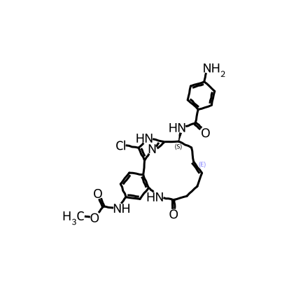 COC(=O)Nc1ccc2c(c1)NC(=O)CC/C=C/C[C@H](NC(=O)c1ccc(N)cc1)c1nc-2c(Cl)[nH]1